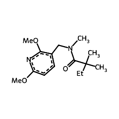 CCC(C)(C)C(=O)N(C)Cc1ccc(OC)nc1OC